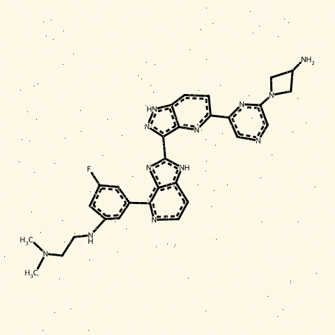 CN(C)CCNc1cc(F)cc(-c2nccc3[nH]c(-c4n[nH]c5ccc(-c6cncc(N7CC(N)C7)n6)nc45)nc23)c1